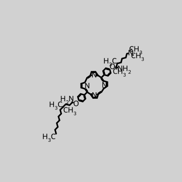 CCCCCCCCCC(C)(C)CCC(N)Oc1ccc(C2=C3C=CC(=N3)C=C3C=CC(=N3)C(c3ccc(OC(C)(N)C(C)CCCCN(C)C)cc3)=C3C=CC(=N3)C=C3C=CC2=N3)cc1